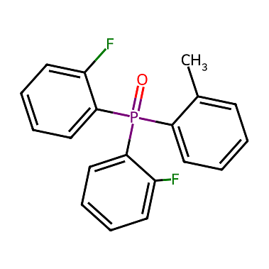 Cc1ccccc1P(=O)(c1ccccc1F)c1ccccc1F